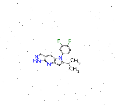 CC(C)c1cc2nc3[nH]ncc3cc2n1-c1ccc(F)c(F)c1